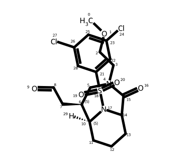 COCCN1C[C@H](CC=O)[C@@H]2CCCC(C1=O)N2S(=O)(=O)c1cc(Cl)cc(Cl)c1